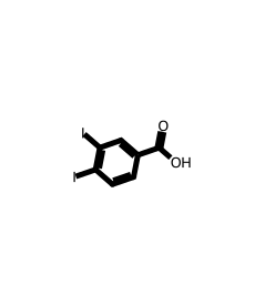 O=C(O)c1ccc(I)c(I)c1